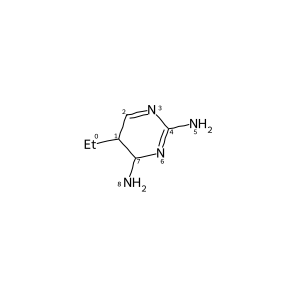 CCC1C=NC(N)=NC1N